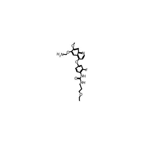 CCOCCCNC(=O)Nc1ccc(Oc2ccnc3cc(OC)c(OCN)cc23)cc1F